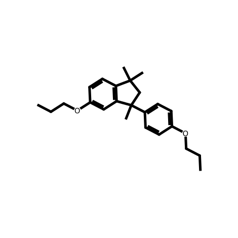 CCCOc1ccc(C2(C)CC(C)(C)c3ccc(OCCC)cc32)cc1